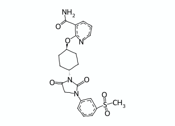 CS(=O)(=O)c1cccc(N2CC(=O)N([C@H]3CC[C@H](Oc4ncccc4C(N)=O)CC3)C2=O)c1